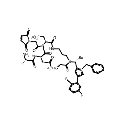 C[C@H](N)C(=O)N[C@H](CC(N)=O)C(=O)N(C(=O)CN1C(=O)C=CC1=O)[C@@H](CC(=O)O)C(=O)NCCCN(C(=O)CO)[C@@H](c1cc(-c2cc(F)ccc2F)cn1Cc1ccccc1)C(C)(C)C